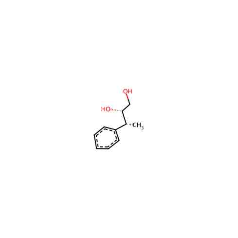 C[C@H](c1ccccc1)[C@H](O)CO